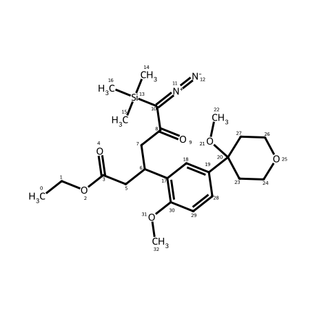 CCOC(=O)CC(CC(=O)C(=[N+]=[N-])[Si](C)(C)C)c1cc(C2(OC)CCOCC2)ccc1OC